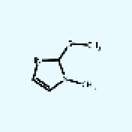 CSC1NC=CN1C